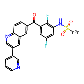 CCCS(=O)(=O)Nc1cc(F)cc(C(=O)c2ccc3ncc(-c4cccnc4)cc3c2)c1F